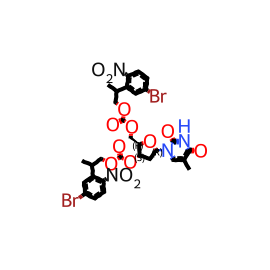 Cc1cn([C@H]2C[C@H](OC(=O)OCC(C)c3cc(Br)ccc3[N+](=O)[O-])[C@@H](COC(=O)OCC(C)c3cc(Br)ccc3[N+](=O)[O-])O2)c(=O)[nH]c1=O